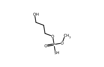 COP(=O)(S)OCCCO